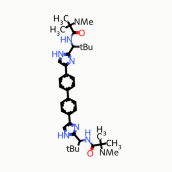 CNC(C)(C)C(=O)NC(c1nc(-c2ccc(-c3ccc(-c4c[nH]c(C(NC(=O)C(C)(C)NC)C(C)(C)C)n4)cc3)cc2)c[nH]1)C(C)(C)C